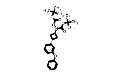 CC(C)(C)OC(=O)ON(C(=O)OC(C)(C)C)[C@H]1C[C@H](c2cccc(Oc3ccccc3)c2)C1